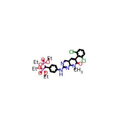 CCOP(=O)(OCC)C(c1ccc(NC2=NC3C(C=N2)C=C(c2c(Cl)cccc2Cl)C(=O)N3C)cc1)P(=O)(OCC)OCC